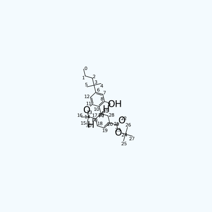 CCCC(C)(C)c1cc(O)c2c(c1)OC(C)(C)[C@@H]1CC=C(C(=O)OC(C)(C)C)C[C@@H]21